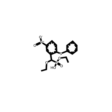 CCOC(c1cc([N+](=O)[O-])ccc1Sc1ccccc1)P(=O)(O)OCC